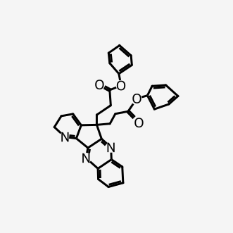 O=C(CCC1(CCC(=O)Oc2ccccc2)C2=CCCN=C2c2nc3ccccc3nc21)Oc1ccccc1